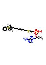 C[C@H](Cn1cnc2c(N)ncnc21)OCP(=O)(O)OCCCSCCCCCCCCCCCS(C)(C)C1CCCCC1